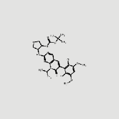 COc1cc(OC)c(Cl)c(-c2cc3cnc(NC4COCC4NC(=O)OC(C)(C)C)nc3n(C(C)C)c2=O)c1Cl